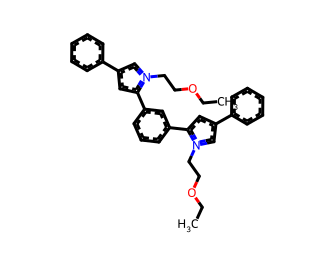 CCOCCn1cc(-c2ccccc2)cc1-c1cccc(-c2cc(-c3ccccc3)cn2CCOCC)c1